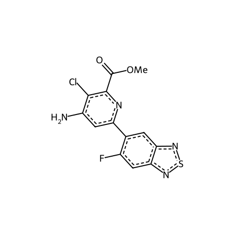 COC(=O)c1nc(-c2cc3nsnc3cc2F)cc(N)c1Cl